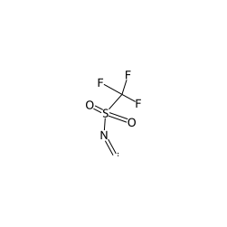 [C]=NS(=O)(=O)C(F)(F)F